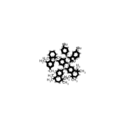 Cc1cc(C)c2c(c1)N(c1cc3c4c(c1)N(c1ccc(C(C)(C)C)cc1)c1c(oc5ccc(C(C)(C)C)cc15)B4c1cc4c(cc1N3c1ccc3c(c1)C(C)(C)CCC3(C)C)C(C)(C)CCC4(C)C)C1(C)CCCCC21C